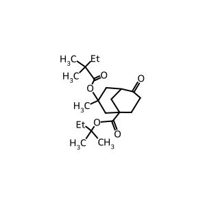 CCC(C)(C)OC(=O)C12CCC(=O)C(CC(C)(OC(=O)C(C)(C)CC)C1)C2